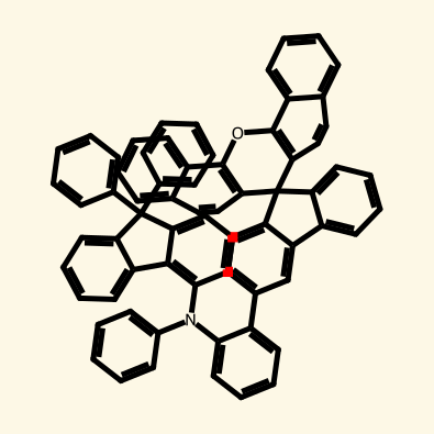 c1ccc(N(c2ccccc2-c2ccc3c(c2)-c2ccccc2C32c3ccc4ccccc4c3Oc3c2ccc2ccccc32)c2cccc3c2-c2ccccc2C3(c2ccccc2)c2ccccc2)cc1